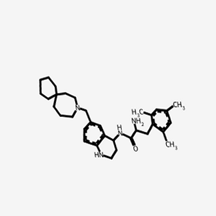 Cc1cc(C)c(CC(N)C(=O)NC2CCNc3ccc(CN4CCCC5(CCCCC5)CC4)cc32)c(C)c1